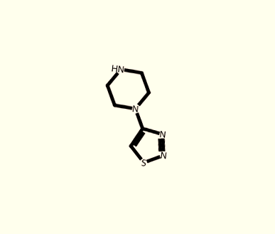 c1snnc1N1CCNCC1